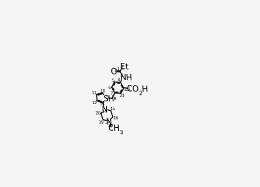 CCC(=O)Nc1ccc(C[SH]2C=CC=C2N2CCN(C)CC2)cc1C(=O)O